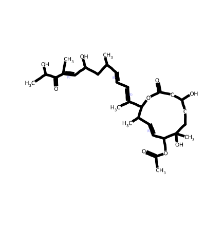 CC(=O)OC1/C=C/C(C)C(/C(C)=C/C=C/C(C)CC(O)/C=C(\C)C(=O)C(C)O)OC(=O)CC(O)CCC1(C)O